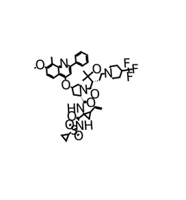 C=CC1C[C@]1(NC(=O)[C@@H]1C[C@@H](Oc2cc(-c3ccccc3)nc3c(C)c(OC)ccc23)CN1C(=O)[C@@H](CC(=O)N1CCC(C(F)(F)F)CC1)C(C)(C)C)C(=O)NS(=O)(=O)C1CC1